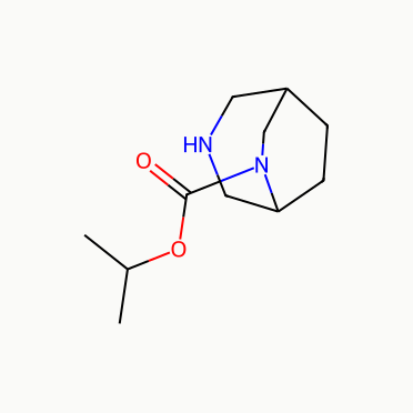 CC(C)OC(=O)N1CC2CCC1CNC2